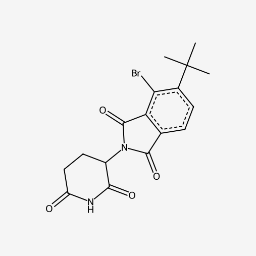 CC(C)(C)c1ccc2c(c1Br)C(=O)N(C1CCC(=O)NC1=O)C2=O